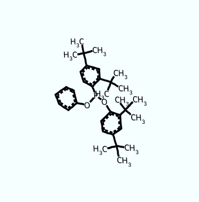 CC(C)(C)c1ccc(OP(Oc2ccccc2)c2ccc(C(C)(C)C)cc2C(C)(C)C)c(C(C)(C)C)c1